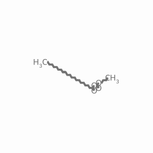 CCCCCCCCC=CCCCCCCCCCCCC(=O)OC(=O)OCCCC